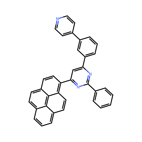 c1ccc(-c2nc(-c3cccc(-c4ccncc4)c3)cc(-c3ccc4ccc5cccc6ccc3c4c56)n2)cc1